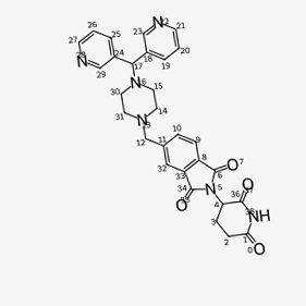 O=C1CCC(N2C(=O)c3ccc(CN4CCN(C(c5cccnc5)c5cccnc5)CC4)cc3C2=O)C(=O)N1